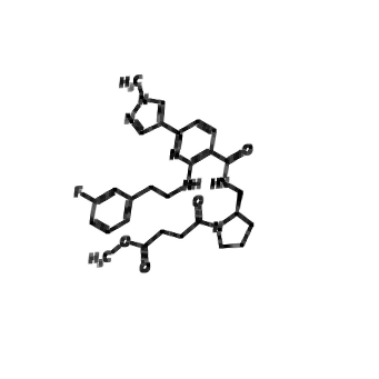 COC(=O)CCC(=O)N1CCC[C@@H]1CNC(=O)c1ccc(-c2cnn(C)c2)nc1NCCc1cccc(F)c1